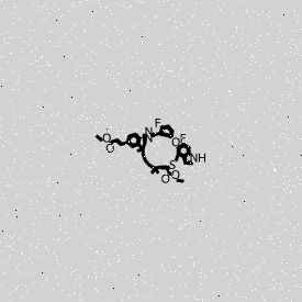 CCOC(=O)/C=C/c1cccc(C2(C)CCCC(C)(C)/C=C(\C(=O)OCC)SCc3c(c(F)cc4[nH]ccc34)Oc3ccc(F)c(c3)-c3ncc2[nH]3)c1